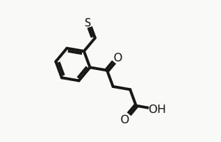 O=C(O)CCC(=O)c1ccccc1C=S